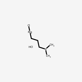 CN(C)CC[CH2][Mg][Cl].Cl